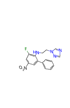 O=[N+]([O-])c1cc(F)c(NCCn2cncn2)c(-c2ccccc2)c1